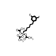 CC(=O)O[Si](CCCCCCc1cc(F)cc(F)c1)(OC(C)=O)OC(C)=O